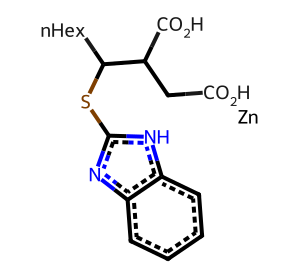 CCCCCCC(Sc1nc2ccccc2[nH]1)C(CC(=O)O)C(=O)O.[Zn]